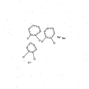 [Na+].[Na+].[O-]c1ccccc1[O-].[O-]c1ccccc1[O-].[O-]c1ccccc1[O-].[Ti+4]